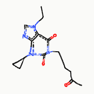 CCn1cnc2c1c(=O)n(CCCC(C)=O)c(=O)n2C1CC1